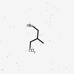 CCCCCC(C)CC(Cl)(Cl)Cl